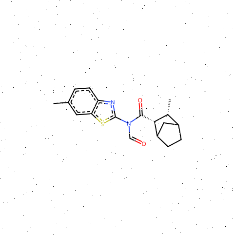 Cc1ccc2nc(N(C=O)C(=O)[C@H]3C4CCC(C4)[C@H]3C)sc2c1